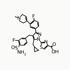 CN1CC=C(c2cc(-c3nn(-c4nc(C(=O)O)cs4)c(CC4CC4)c3Cc3ccc([S+](N)[O-])c(F)c3)ccc2F)CC1